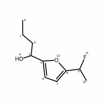 CCCC(O)c1ccc(C(C)F)o1